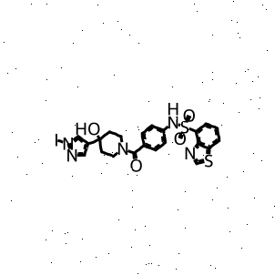 O=C(c1ccc(NS(=O)(=O)c2cccc3scnc23)cc1)N1CCC(O)(c2cnn(I)c2)CC1